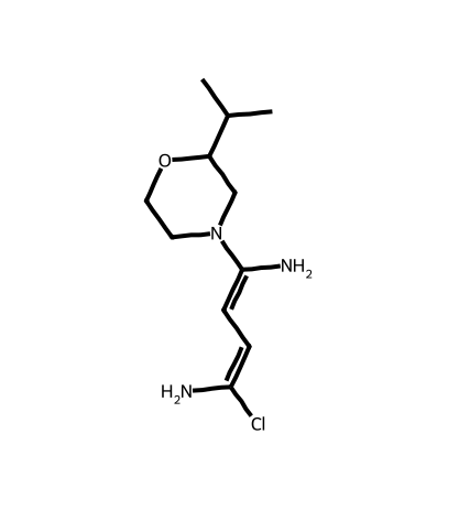 CC(C)C1CN(/C(N)=C/C=C(\N)Cl)CCO1